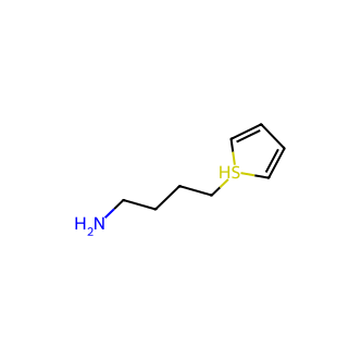 NCCCC[SH]1C=CC=C1